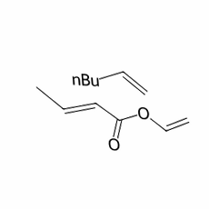 C=CCCCC.C=COC(=O)C=CC